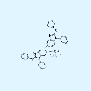 CC1(C)c2cc3c(cc2C2C=c4nc(Sc5ccccc5)n(-c5ccccc5)c4=CC21)nc(Sc1ccccc1)n3-c1ccccc1